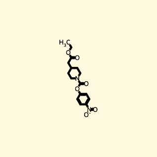 CCOC(=O)CC1CCN(C(=O)Oc2ccc([N+](=O)[O-])cc2)CC1